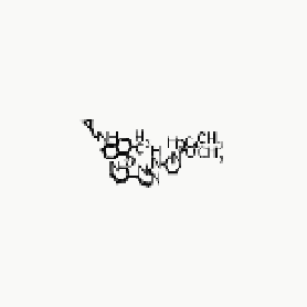 Cc1ccc2c(NCC3CC3)cccc2c1Oc1ncccc1-c1ccnc(NC2CCCN(C(=O)OC(C)(C)C)C2)n1